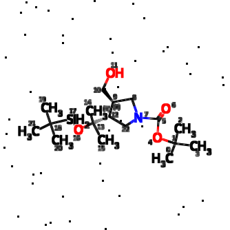 CC(C)(C)OC(=O)N1C[C@H](CO)[C@@H](C(C)(C)O[SiH2]C(C)(C)C)C1